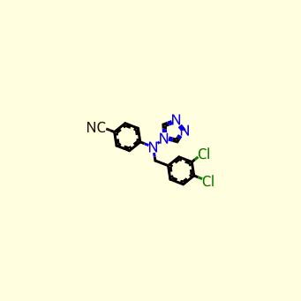 N#Cc1ccc(N(Cc2ccc(Cl)c(Cl)c2)n2cnnc2)cc1